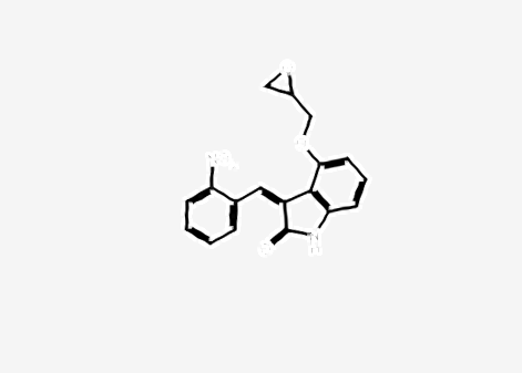 O=C1Nc2cccc(OCC3CO3)c2C1=Cc1ccccc1[N+](=O)[O-]